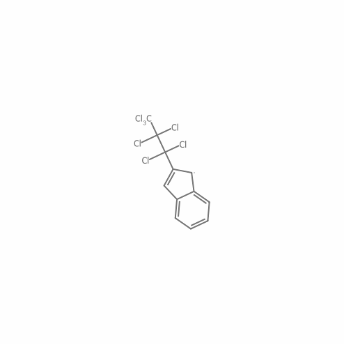 ClC(Cl)(Cl)C(Cl)(Cl)C(Cl)(Cl)C1=Cc2ccccc2[CH]1